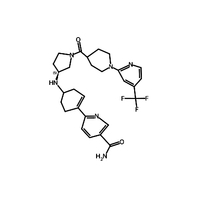 NC(=O)c1ccc(C2=CCC(N[C@H]3CCN(C(=O)C4CCN(c5cc(C(F)(F)F)ccn5)CC4)C3)CC2)nc1